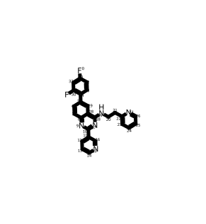 Fc1ccc(-c2ccc3nc(-c4cccnc4)nc(NCCc4ccccn4)c3c2)c(F)c1